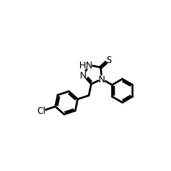 S=c1[nH]nc(Cc2ccc(Cl)cc2)n1-c1ccccc1